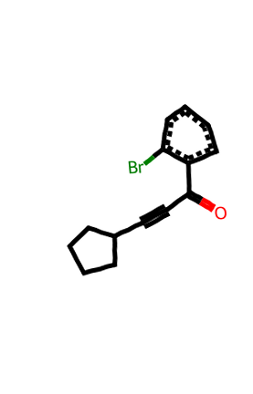 O=C(C#CC1CCCC1)c1ccccc1Br